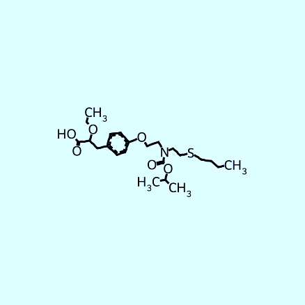 CCCCSCCN(CCOc1ccc(CC(OCC)C(=O)O)cc1)C(=O)OC(C)C